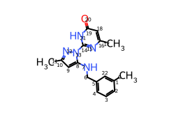 Cc1cccc(CNc2cc(C)nn2-c2nc(C)cc(=O)[nH]2)c1